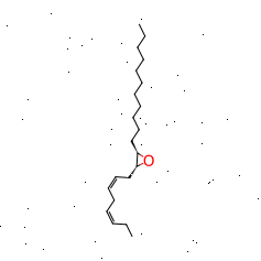 CC/C=C\C/C=C\C[C@@H]1O[C@@H]1CCCCCCCCCCC